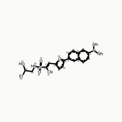 CCCN(CCC)c1ccc2cc(-c3ccc(/C=C(\C#N)S(=O)(=O)NCC(O)CC)o3)ccc2c1